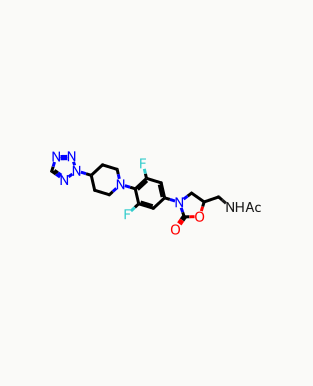 CC(=O)NCC1CN(c2cc(F)c(N3CCC(n4ncnn4)CC3)c(F)c2)C(=O)O1